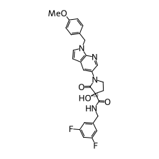 COc1ccc(Cn2ccc3cc(N4CC[C@](O)(C(=O)NCc5cc(F)cc(F)c5)C4=O)cnc32)cc1